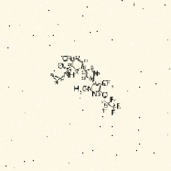 Cn1nc(OCC(F)(F)C(F)F)c(C(F)(F)F)c1-n1cc(-c2ccc(Cl)c(C(=O)NC3CC3)c2)cn1